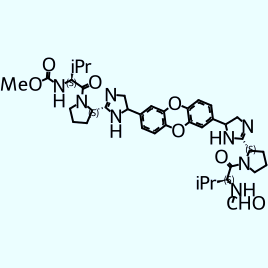 COC(=O)N[C@H](C(=O)N1CCC[C@H]1C1=NCC(c2ccc3c(c2)Oc2ccc(C4CN=C([C@@H]5CCCN5C(=O)[C@@H](NC=O)C(C)C)N4)cc2O3)N1)C(C)C